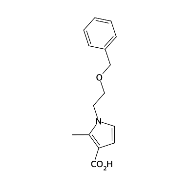 Cc1c(C(=O)O)ccn1CCOCc1ccccc1